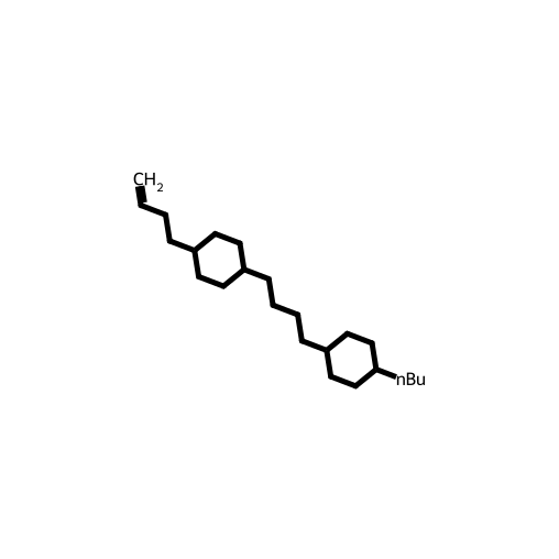 C=CCCC1CCC(CCCCC2CCC(CCCC)CC2)CC1